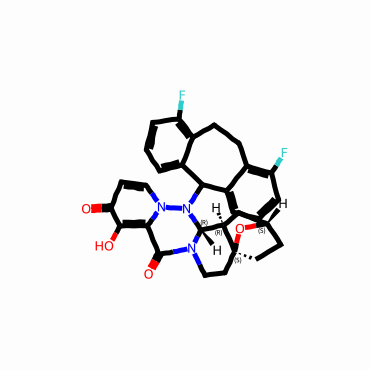 O=C1c2c(O)c(=O)ccn2N(C2c3cccc(F)c3CCc3c(F)cccc32)[C@@H]2[C@H]3C[C@@H]4CC[C@@]3(CCN12)O4